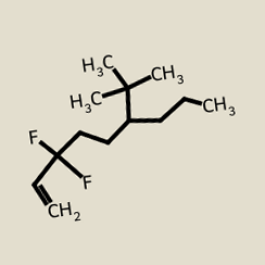 C=CC(F)(F)CCC(CCC)C(C)(C)C